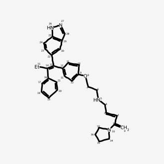 C=C(/C=C/CNCCOc1ccc(/C(=C(/CC)c2ccccc2)c2ccc3[nH]ncc3c2)cc1)N1CCCC1